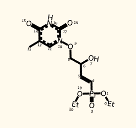 CCOP(=O)(C=CC(O)COn1cc(C)c(=O)[nH]c1=O)OCC